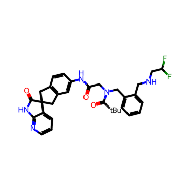 CC(C)(C)C(=O)N(CC(=O)Nc1ccc2c(c1)CC1(C2)C(=O)Nc2ncccc21)Cc1ccccc1CNCC(F)F